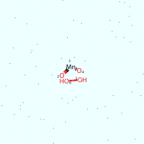 OO.[O]=[Mn]=[O]